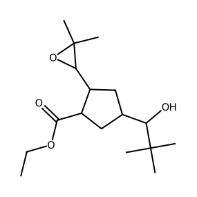 CCOC(=O)C1CC(C(O)C(C)(C)C)CC1C1OC1(C)C